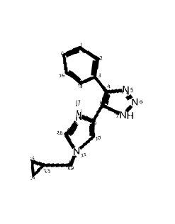 c1ccc(-c2nn[nH]c2-c2cn(CC3CC3)cn2)cc1